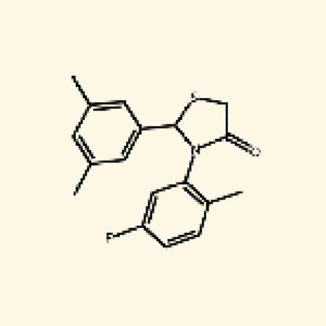 Cc1cc(C)cc(C2SCC(=O)N2c2cc(F)ccc2C)c1